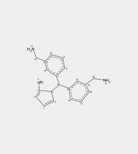 CCCC1=CC=C[C]1C(c1cccc(CN)c1)c1cccc(CN)c1